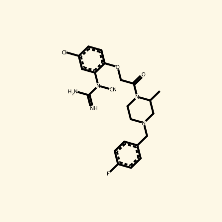 CC1CN(Cc2ccc(F)cc2)CCN1C(=O)COc1ccc(Cl)cc1N(C#N)C(=N)N